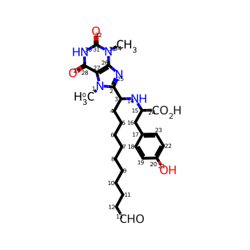 Cn1c(C(CCCCCCCCCC=O)NC(Cc2ccc(O)cc2)C(=O)O)nc2c1c(=O)[nH]c(=O)n2C